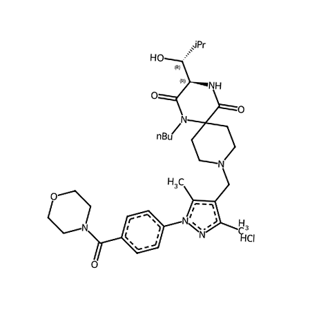 CCCCN1C(=O)[C@@H]([C@H](O)C(C)C)NC(=O)C12CCN(Cc1c(C)nn(-c3ccc(C(=O)N4CCOCC4)cc3)c1C)CC2.Cl